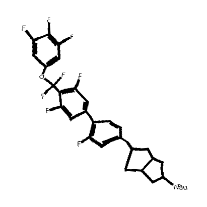 CCCCC1CC2CC(c3ccc(-c4cc(F)c(C(F)(F)Oc5cc(F)c(F)c(F)c5)c(F)c4)c(F)c3)CC2C1